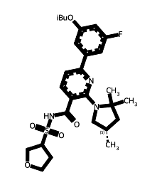 CC(C)COc1cc(F)cc(-c2ccc(C(=O)NS(=O)(=O)C3CCOC3)c(N3C[C@@H](C)CC3(C)C)n2)c1